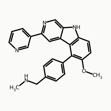 CNCc1ccc(-c2c(OC)ccc3[nH]c4cnc(-c5cccnc5)cc4c23)cc1